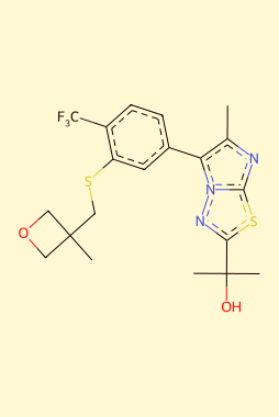 Cc1nc2sc(C(C)(C)O)nn2c1-c1ccc(C(F)(F)F)c(SCC2(C)COC2)c1